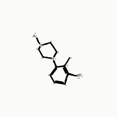 CC(=O)N1CCN(c2cccc(N)c2C)CC1